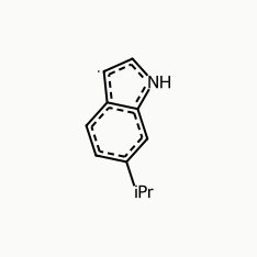 CC(C)c1ccc2[c]c[nH]c2c1